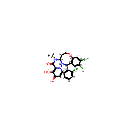 CN1C(=O)c2c(O)c(=O)ccn2N2C1CCOc1cc(F)c(F)cc1[C@@H]2c1ccccc1Br